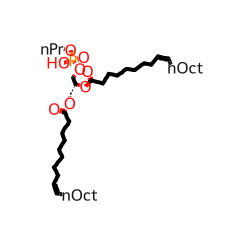 CCCCCCCC/C=C\CCCCCCCC(=O)OC[C@H](COP(=O)(O)OCCC)OC(=O)CCCCCCC/C=C\CCCCCCCC